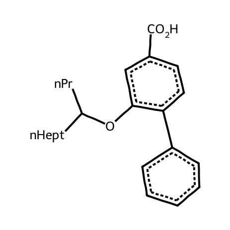 CCCCCCCC(CCC)Oc1cc(C(=O)O)ccc1-c1ccccc1